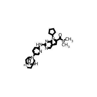 CN(C)C(=O)c1cc2cnc(Nc3ccc(N4C[C@@H]5CC[C@@]6(CC4O6)N5)cn3)nc2n1C1CCCC1